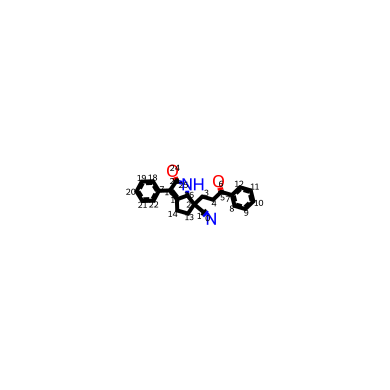 N#CC1(CCC(=O)c2ccccc2)CCC2=C(c3ccccc3)C(=O)NC21